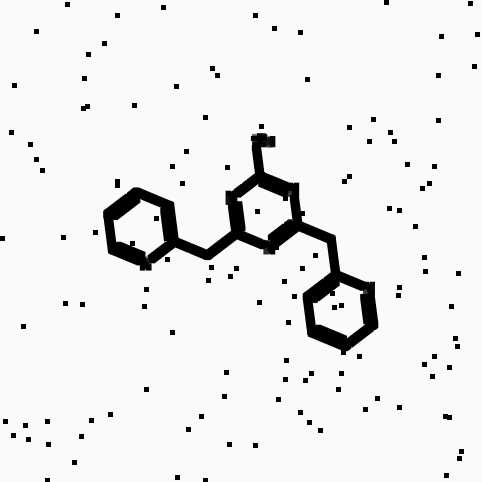 CC(C)(C)c1nc(Cc2ccccn2)nc(Cc2ccccn2)n1